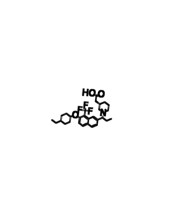 CCC1CCC(Oc2ccc3ccc(C(CC)N4CCC[C@H](CC(=O)O)C4)cc3c2C(F)(F)F)CC1